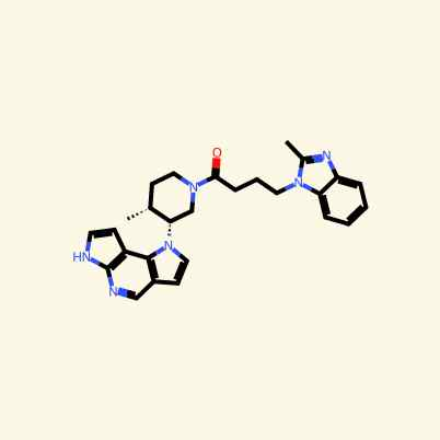 Cc1nc2ccccc2n1CCCC(=O)N1CC[C@@H](C)[C@@H](n2ccc3cnc4[nH]ccc4c32)C1